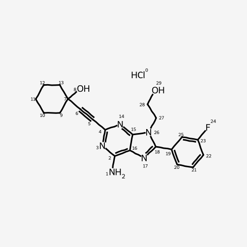 Cl.Nc1nc(C#CC2(O)CCCCC2)nc2c1nc(-c1cccc(F)c1)n2CCO